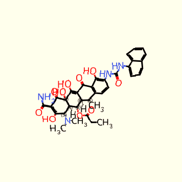 CCC(=O)O[C@@H]1[C@H]2C(=C(O)[C@@]3(O)C(=O)C(C(N)=O)=C(O)[C@@H](N(C)C)[C@H]13)C(=O)c1c(ccc(NC(=O)Nc3cccc4ccccc34)c1O)[C@H]2C